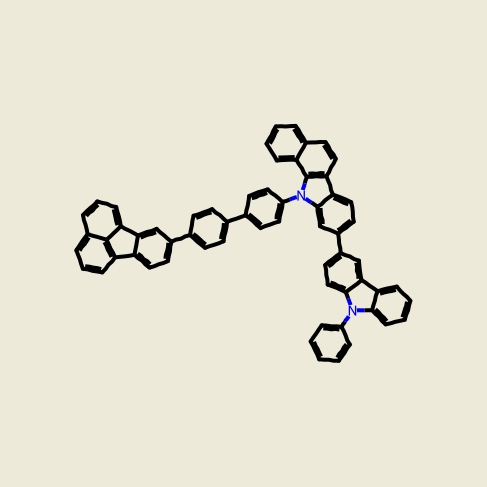 c1ccc(-n2c3ccccc3c3cc(-c4ccc5c6ccc7ccccc7c6n(-c6ccc(-c7ccc(-c8ccc9c(c8)-c8cccc%10cccc-9c8%10)cc7)cc6)c5c4)ccc32)cc1